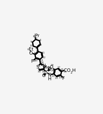 CCOc1c(C2=CCC(C(C)C)CC2)ccc(-c2nc(S(=O)(=O)Nc3cc(F)c(C(=O)O)cc3OC)cs2)c1F